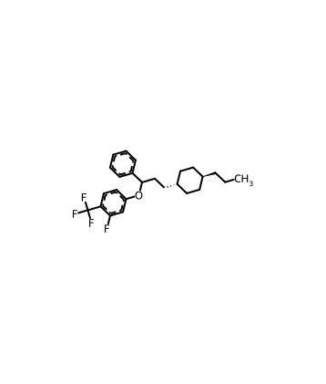 CCC[C@H]1CC[C@H](CCC(Oc2ccc(C(F)(F)F)c(F)c2)c2ccccc2)CC1